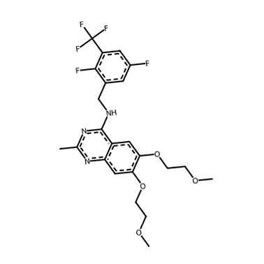 COCCOc1cc2nc(C)nc(NCc3cc(F)cc(C(F)(F)F)c3F)c2cc1OCCOC